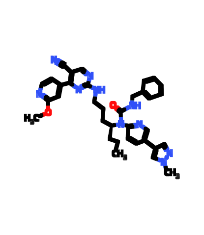 CCC[C@@H](CCCNc1ncc(C#N)c(-c2ccnc(OC)c2)n1)N(C(=O)NCc1ccccc1)c1ccc(-c2cnn(C)c2)cn1